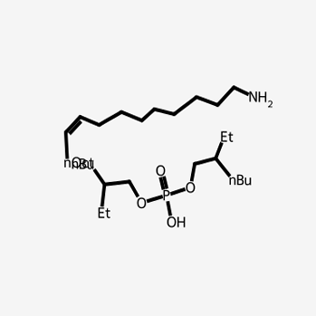 CCCCC(CC)COP(=O)(O)OCC(CC)CCCC.CCCCCCCC/C=C\CCCCCCCCN